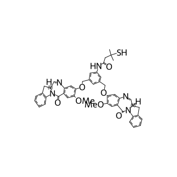 COc1cc2c(cc1OCc1cc(COc3cc4c(cc3OC)C(=O)N3c5ccccc5C[C@H]3C=N4)cc(NC(=O)CC(C)(C)S)c1)N=C[C@@H]1Cc3ccccc3N1C2=O